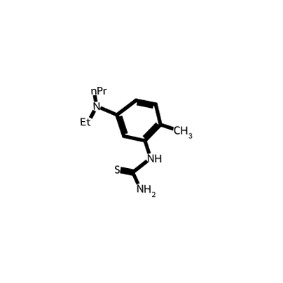 CCCN(CC)c1ccc(C)c(NC(N)=S)c1